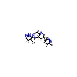 Cc1ccc(-c2cnc3c(c2)CN(c2nnccc2C)CC3)cn1